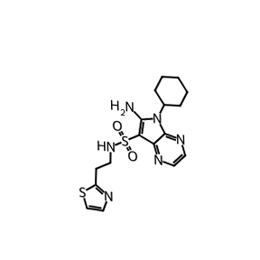 Nc1c(S(=O)(=O)NCCc2nccs2)c2nccnc2n1C1CCCCC1